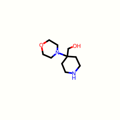 OCC1(N2CCOCC2)CCNCC1